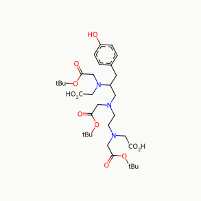 CC(C)(C)OC(=O)CN(CCN(CC(=O)OC(C)(C)C)CC(Cc1ccc(O)cc1)N(CC(=O)O)CC(=O)OC(C)(C)C)CC(=O)O